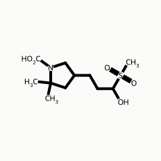 CC1(C)CC(CCC(O)S(C)(=O)=O)CN1C(=O)O